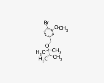 COc1cc(COC(C)(C)[C](C)C)ccc1Br